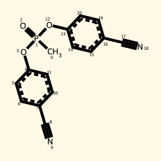 CP(=O)(Oc1ccc(C#N)cc1)Oc1ccc(C#N)cc1